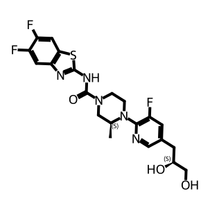 C[C@H]1CN(C(=O)Nc2nc3cc(F)c(F)cc3s2)CCN1c1ncc(C[C@H](O)CO)cc1F